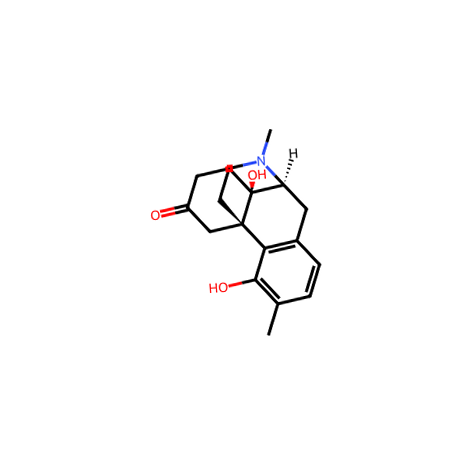 Cc1ccc2c(c1O)[C@@]13CCN(C)[C@@H](C2)[C@@]1(O)CCC(=O)C3